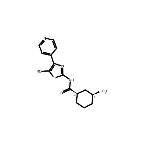 N#Cc1sc(NC(=O)[C@@H]2CCC[C@H](C(=O)O)C2)nc1-c1ccncc1